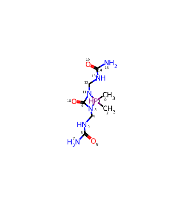 C[PH]1(C)N(CNC(N)=O)C(=O)N1CNC(N)=O